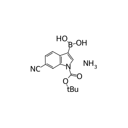 CC(C)(C)OC(=O)n1cc(B(O)O)c2ccc(C#N)cc21.N